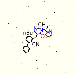 CCCCc1nc(C)n(Cc2nccs2)c(=O)c1Cc1cccc(-c2ccccc2)c1C#N